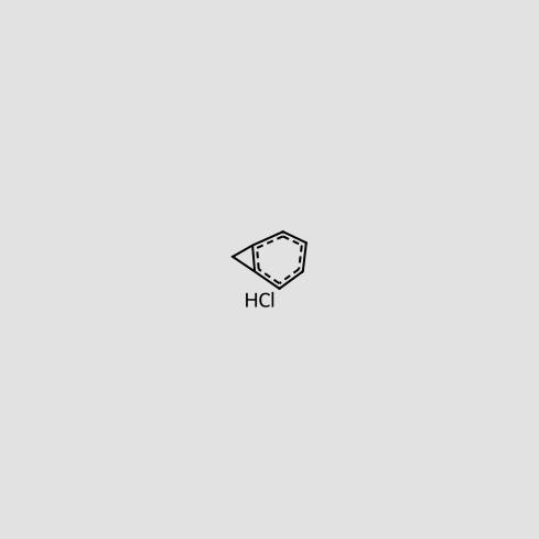 Cl.c1ccc2c(c1)C2